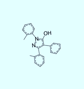 Cc1ccccc1-c1nn(-c2ccccc2C)c(O)c1-c1ccccc1